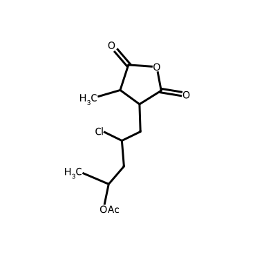 CC(=O)OC(C)CC(Cl)CC1C(=O)OC(=O)C1C